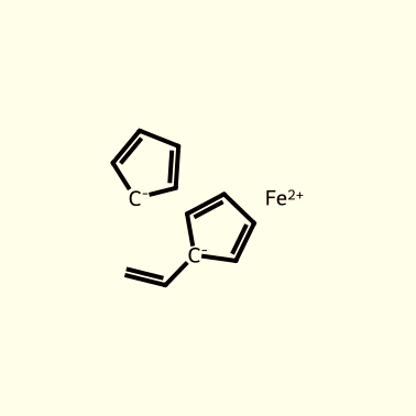 C=C[c-]1cccc1.[Fe+2].c1cc[cH-]c1